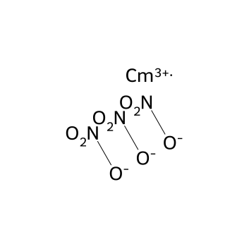 O=[N+]([O-])[O-].O=[N+]([O-])[O-].O=[N+]([O-])[O-].[Cm+3]